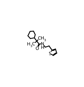 CC(C)(C(=O)NCCc1cccs1)C1CCCCC1